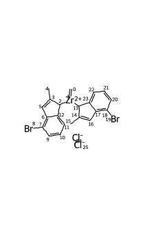 [CH2]=[Zr+2]([CH]1C(C)=Cc2c(Br)cccc21)[CH]1C(C)=Cc2c(Br)cccc21.[Cl-].[Cl-]